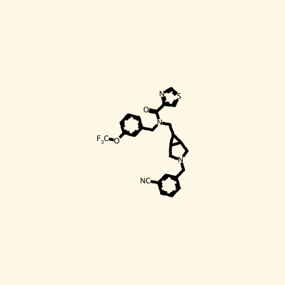 N#Cc1cccc(CN2CC3C(C2)C3CN(Cc2cccc(OC(F)(F)F)c2)C(=O)c2cscn2)c1